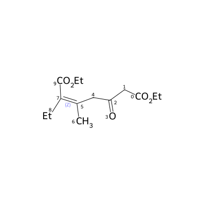 CCOC(=O)CC(=O)C/C(C)=C(/CC)C(=O)OCC